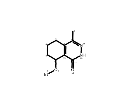 CCOC1CCCc2c(C)n[nH]c(=O)c21